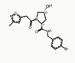 Cc1cc(CC(=O)N2C[C@H](O)C[C@H]2C(=O)NCc2ccc(Br)cc2)on1